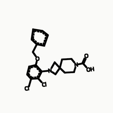 O=C(O)N1CCC2(CC1)CN(c1c(OCc3ccccc3)ccc(Cl)c1Cl)C2